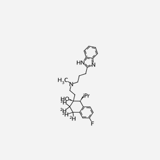 [2H]C1([2H])c2cc(F)ccc2[C@H](C(C)C)[C@@](O)(CCN(C)CCCc2nc3ccccc3[nH]2)C1([2H])[2H]